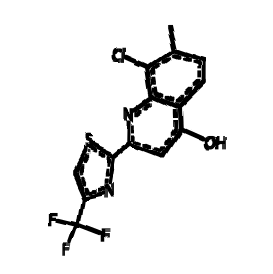 Cc1ccc2c(O)cc(-c3nc(C(F)(F)F)cs3)nc2c1Cl